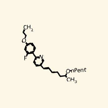 C=CCOc1ccc(-c2ccc(/C=C/CCCC(C)OCCCCC)cn2)c(F)c1